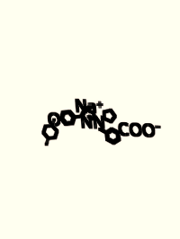 C[C@H]1CC[C@@H](Oc2ccc(-c3csc(N(Cc4cccc(C(=O)[O-])c4)C4CCCC4)n3)cc2)CC1.[Na+]